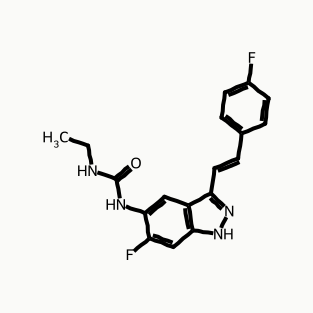 CCNC(=O)Nc1cc2c(C=Cc3ccc(F)cc3)n[nH]c2cc1F